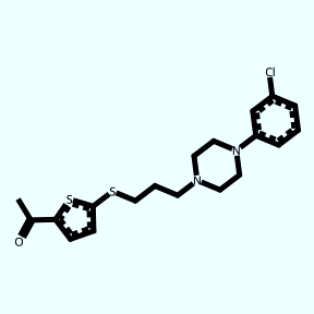 CC(=O)c1ccc(SCCCN2CCN(c3cccc(Cl)c3)CC2)s1